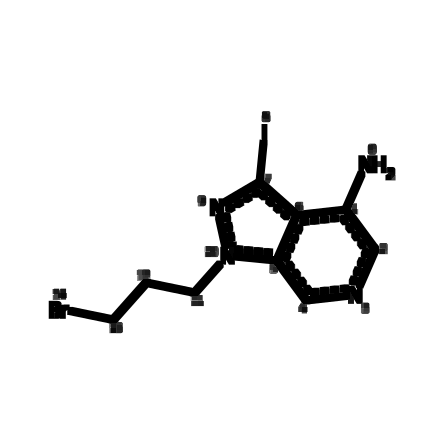 Nc1cncc2c1c(I)nn2CCCBr